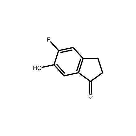 O=C1CCc2cc(F)c(O)cc21